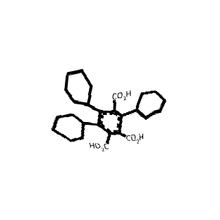 O=C(O)c1c(C(=O)O)c(C2CCCCC2)c(C2CCCCC2)c(C(=O)O)c1C1CCCCC1